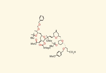 C=C1C[C@@H](C[C@H]2C[C@@H](O[Si](C)(C)C(C)(C)C)C[C@@H](C[C@H](CCC(=O)O)OCc3ccc(OC)cc3)O2)O[C@@H](/C=C/C(C)(C)[C@]2(OC)O[C@H](C[C@@H](O[Si](C)(C)C(C)(C)C)[C@@H](C)OCOCc3ccccc3)C/C(=C\C(=O)OC)[C@@H]2OC(=O)CCCCCCC)C1